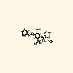 COc1cc(C(=O)N2CCCC[C@@H]2C=O)c([N+](=O)[O-])cc1OCc1ccccc1